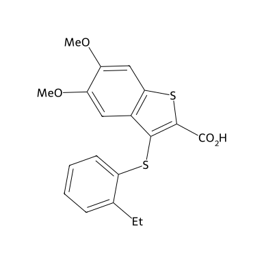 CCc1ccccc1Sc1c(C(=O)O)sc2cc(OC)c(OC)cc12